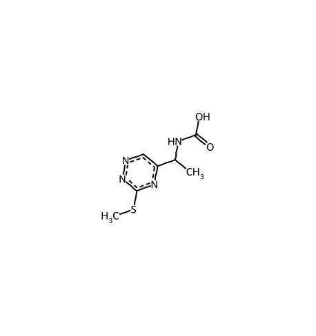 CSc1nncc(C(C)NC(=O)O)n1